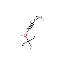 CC(C)(C)OC#C[SiH3]